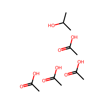 CC(=O)O.CC(=O)O.CC(=O)O.CC(=O)O.CC(C)O